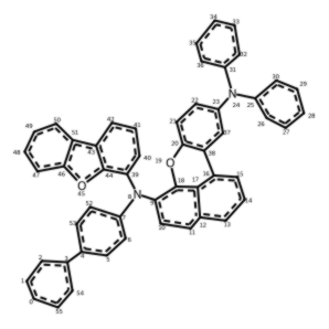 c1ccc(-c2ccc(N(c3ccc4cccc5c4c3Oc3ccc(N(c4ccccc4)c4ccccc4)cc3-5)c3cccc4c3oc3ccccc34)cc2)cc1